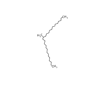 CCCCCCCCCCCCCCC(C)CCCCCCCCCCCCC